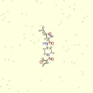 O=C(NC1CCN(C(=O)c2ccoc2)CC1)c1cc(C2CC2)on1